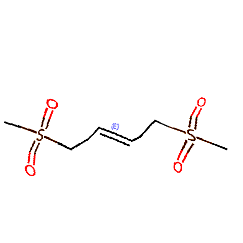 CS(=O)(=O)C/C=C/CS(C)(=O)=O